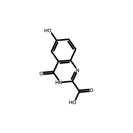 O=C(O)c1nc2ccc(O)cc2c(=O)[nH]1